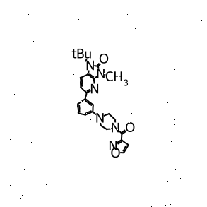 Cn1c(=O)n(CC(C)(C)C)c2ccc(-c3cccc(N4CCN(C(=O)c5ccon5)CC4)c3)nc21